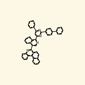 c1ccc(-c2ccc(-c3nc(-c4ccccc4)cc(-c4ncc(-c5nc6ccccc6c6c5ccc5ccccc56)c5ccccc45)n3)cc2)cc1